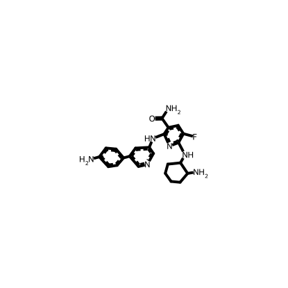 NC(=O)c1cc(F)c(NC2CCCCC2N)nc1Nc1cncc(-c2ccc(N)cc2)c1